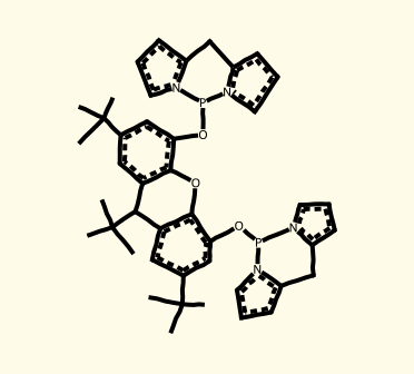 CC(C)(C)c1cc(OP2n3cccc3Cc3cccn32)c2c(c1)C(C(C)(C)C)c1cc(C(C)(C)C)cc(OP3n4cccc4Cc4cccn43)c1O2